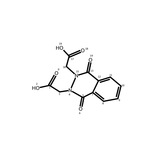 O=C(O)Cn1c(=O)c2ccccc2c(=O)n1CC(=O)O